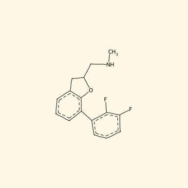 CNCC1Cc2cccc(-c3cccc(F)c3F)c2O1